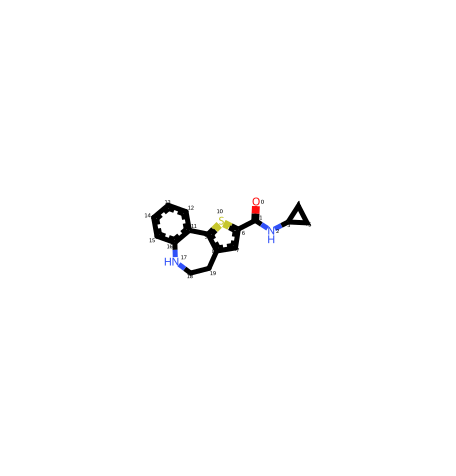 O=C(NC1CC1)c1cc2c(s1)-c1ccccc1NCC2